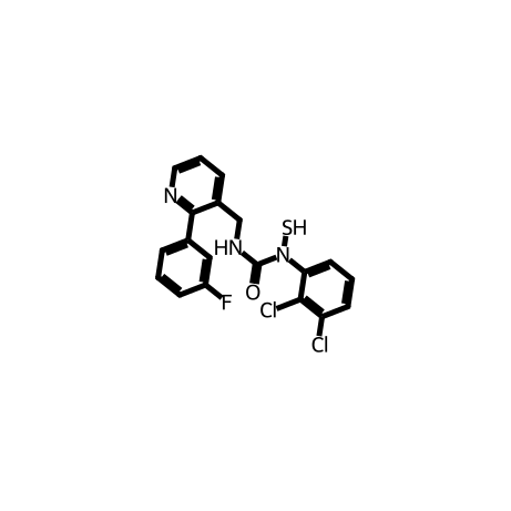 O=C(NCc1cccnc1-c1cccc(F)c1)N(S)c1cccc(Cl)c1Cl